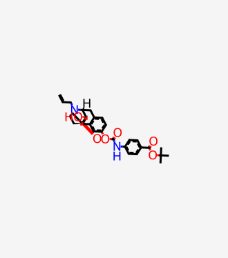 C=CCN1CC[C@]23CC(=O)CC[C@@]2(O)[C@H]1Cc1ccc(OC(=O)Nc2ccc(C(=O)OC(C)(C)C)cc2)cc13